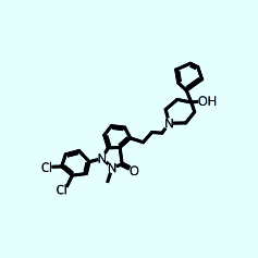 Cn1c(=O)c2c(CCCN3CCC(O)(c4ccccc4)CC3)cccc2n1-c1ccc(Cl)c(Cl)c1